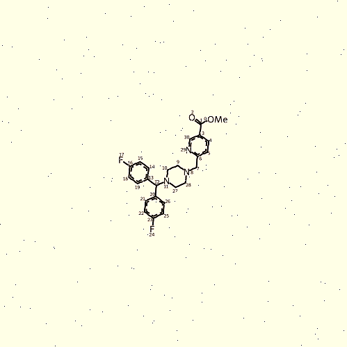 COC(=O)c1ccc(CN2CCN(C(c3ccc(F)cc3)c3ccc(F)cc3)CC2)nc1